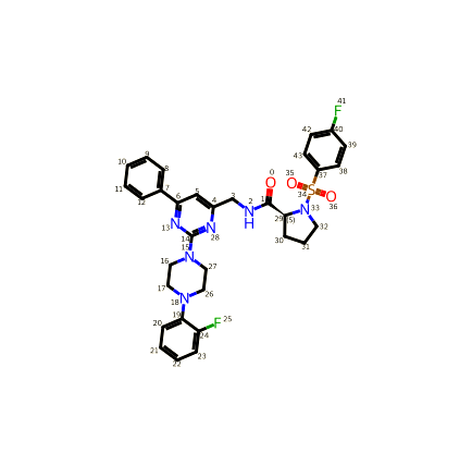 O=C(NCc1cc(-c2ccccc2)nc(N2CCN(c3ccccc3F)CC2)n1)[C@@H]1CCCN1S(=O)(=O)c1ccc(F)cc1